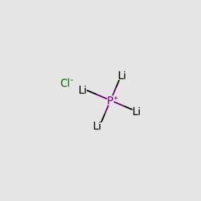 [Cl-].[Li][P+]([Li])([Li])[Li]